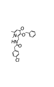 Cc1cc(=O)c(OCc2ccccc2)c(CNC(=O)Cc2ccc(Cl)cc2)n1C